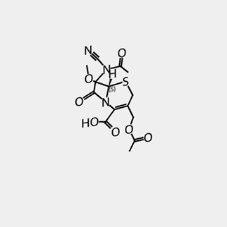 COC1(N(C#N)C(C)=O)C(=O)N2C(C(=O)O)=C(COC(C)=O)CS[C@H]21